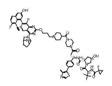 C#Cc1c(F)ccc2cc(O)cc(-c3ncc4c(N5CC6CCC(C5)N6)nc(OCCCN5CCC(C(=O)N6CCN(C(=O)C[C@H](NC(=O)[C@@H]7C[C@@H](O)CN7C(=O)[C@@H](NC(=O)C7(F)CC7)C(C)(C)C)c7ccc(-c8scnc8C)cc7)CC6)CC5)nc4c3F)c12